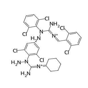 NC(=[N+]=C1CCCCC1)N(N)c1c(Cl)cccc1Cl.NC(=[N+]=Cc1c(Cl)cccc1Cl)N(N)c1c(Cl)cccc1Cl